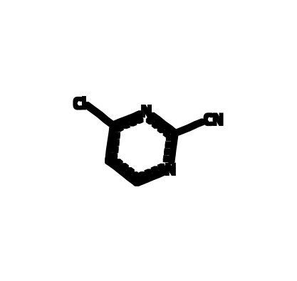 N#Cc1nccc(Cl)n1